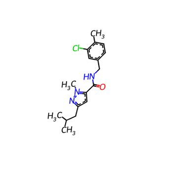 Cc1ccc(CNC(=O)c2cc(CC(C)C)nn2C)cc1Cl